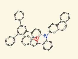 c1ccc(-c2cc(-c3ccccc3)cc(-c3ccc(N(c4ccc5c(ccc6ccccc65)c4)c4ccccc4-c4cc5ccccc5o4)cc3)c2)cc1